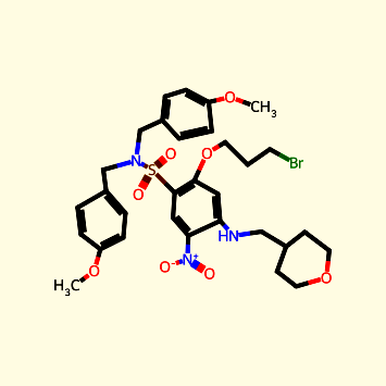 COc1ccc(CN(Cc2ccc(OC)cc2)S(=O)(=O)c2cc([N+](=O)[O-])c(NCC3CCOCC3)cc2OCCCBr)cc1